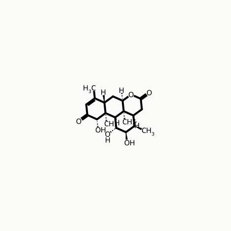 CC1=CC(=O)[C@@H](O)[C@]2(C)[C@H]3[C@@H](O)[C@H](O)[C@H](C)[C@@H]4CC(=O)O[C@H](C[C@@H]12)[C@]34C